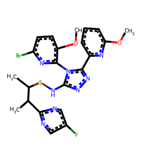 COc1cccc(-c2nnc(NSC(C)C(C)c3ncc(F)cn3)n2-c2nc(Br)ccc2OC)n1